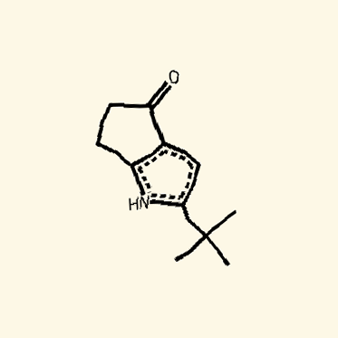 CC(C)(C)c1cc2c([nH]1)CCC2=O